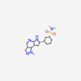 CN(C)S(=O)(=O)c1cccc(-c2cc3c(ncc4cnn(C)c43)[nH]2)c1